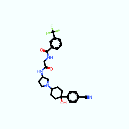 N#Cc1ccc(C2(O)CCC(N3CCC(NC(=O)CNC(=O)c4cccc(C(F)(F)F)c4)C3)CC2)cc1